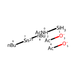 CC(=O)N[SiH3].CC(=O)[O-].CC(=O)[O-].CCC[CH2][Sn+2][CH2]CCC